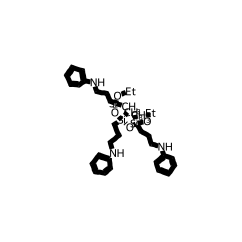 CCO[Si](C)(CCCNc1ccccc1)O[Si](C)(CCCNc1ccccc1)O[Si](C)(CCCNc1ccccc1)OCC